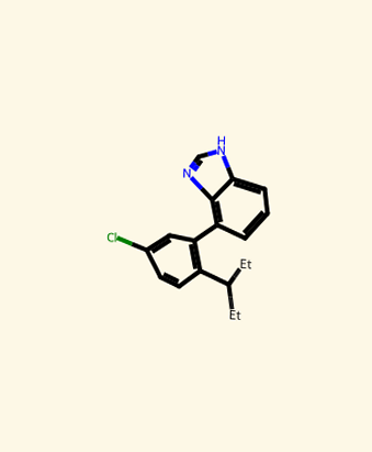 CCC(CC)c1ccc(Cl)cc1-c1cccc2[nH]cnc12